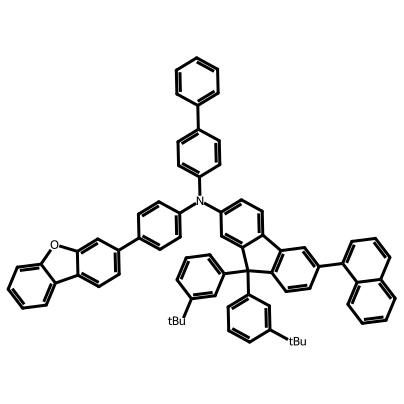 CC(C)(C)c1cccc(C2(c3cccc(C(C)(C)C)c3)c3ccc(-c4cccc5ccccc45)cc3-c3ccc(N(c4ccc(-c5ccccc5)cc4)c4ccc(-c5ccc6c(c5)oc5ccccc56)cc4)cc32)c1